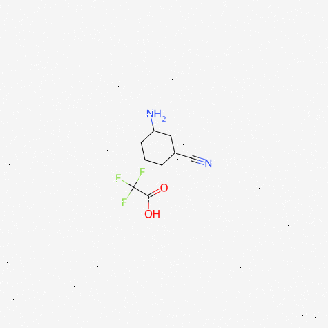 N#CC1CCCC(N)C1.O=C(O)C(F)(F)F